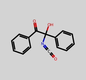 O=C=NC(O)(C(=O)c1ccccc1)c1ccccc1